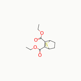 CCOC(=O)C1=C(C(=O)OCC)C2CCC1S2